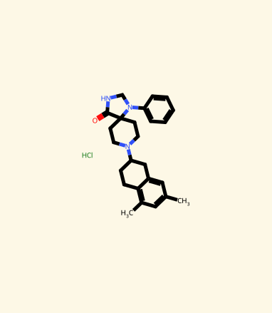 Cc1cc(C)c2c(c1)CC(N1CCC3(CC1)C(=O)NCN3c1ccccc1)CC2.Cl